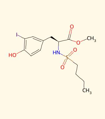 CCCCS(=O)(=O)N[C@@H](Cc1ccc(O)c(I)c1)C(=O)OC